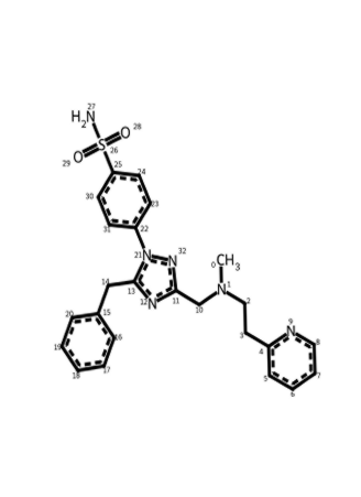 CN(CCc1ccccn1)Cc1nc(Cc2ccccc2)n(-c2ccc(S(N)(=O)=O)cc2)n1